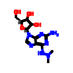 CN(C)Nc1nc(N)nc2c1ncn2[C@@H]1O[C@H](CO)C(O)C1O